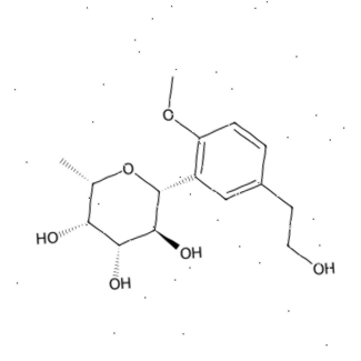 COc1ccc(CCO)cc1[C@H]1O[C@@H](C)[C@@H](O)[C@@H](O)[C@@H]1O